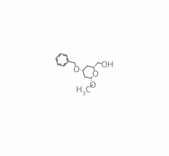 CO[C@@H]1C[C@H](OCc2ccccc2)C[C@@H](CO)O1